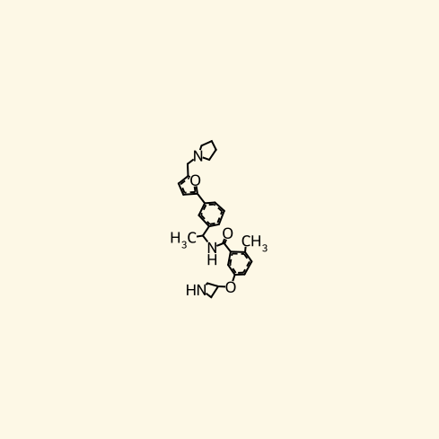 Cc1ccc(OC2CNC2)cc1C(=O)NC(C)c1cccc(-c2ccc(CN3CCCC3)o2)c1